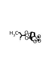 CCC(I)C(=O)Oc1c2c3oc1cc3S(=O)(=O)O2